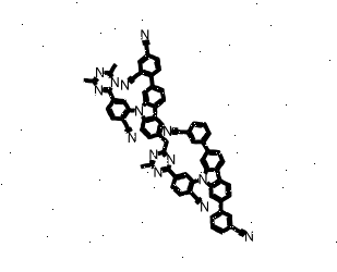 Cc1nc(C)nc(-c2ccc(C#N)c(-n3c4ccc(Cc5nc(C)nc(-c6ccc(C#N)c(-n7c8cc(-c9cccc(C#N)c9)ccc8c8ccc(-c9cccc(C#N)c9)cc87)c6)n5)cc4c4ccc(-c5ccc(C#N)cc5C#N)cc43)c2)n1